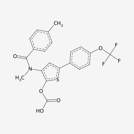 Cc1ccc(C(=O)N(C)c2cc(-c3ccc(OC(F)(F)F)cc3)sc2OC(=O)O)cc1